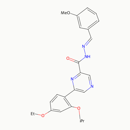 CCOc1ccc(-c2cncc(C(=O)N/N=C/c3cccc(OC)c3)n2)c(OC(C)C)c1